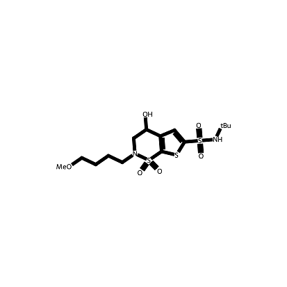 COCCCCN1CC(O)c2cc(S(=O)(=O)NC(C)(C)C)sc2S1(=O)=O